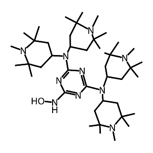 CN1C(C)(C)CC(N(c2nc(NO)nc(N(C3CC(C)(C)N(C)C(C)(C)C3)C3CC(C)(C)N(C)C(C)(C)C3)n2)C2CC(C)(C)N(C)C(C)(C)C2)CC1(C)C